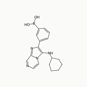 OB(O)c1cccc(-c2nc3cnccn3c2NC2CCCCC2)c1